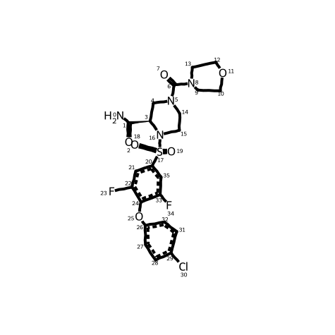 NC(=O)[C@H]1CN(C(=O)N2CCOCC2)CCN1S(=O)(=O)c1cc(F)c(Oc2ccc(Cl)cc2)c(F)c1